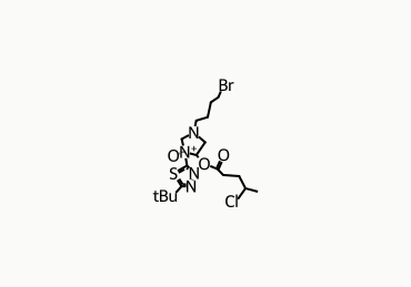 CC(Cl)CCC(=O)OC1CN(CCCCBr)C[N+]1([O-])c1nnc(C(C)(C)C)s1